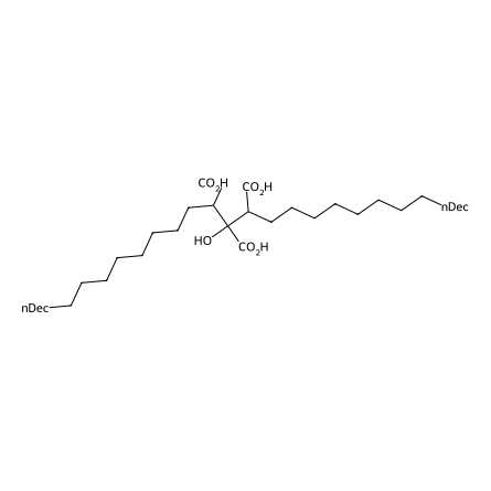 CCCCCCCCCCCCCCCCCCC(C(=O)O)C(O)(C(=O)O)C(CCCCCCCCCCCCCCCCCC)C(=O)O